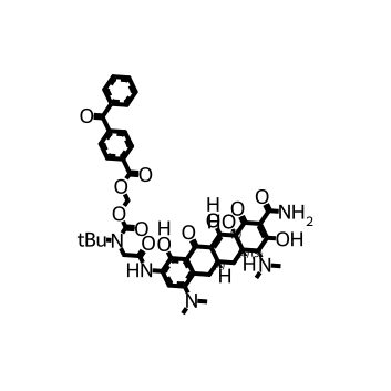 CN(C)c1cc(NC(=O)CN(C(=O)OCOC(=O)c2ccc(C(=O)c3ccccc3)cc2)C(C)(C)C)c(O)c2c1C[C@H]1C[C@H]3[C@H](N(C)C)C(O)=C(C(N)=O)C(=O)[C@@]3(O)C(O)=C1C2=O